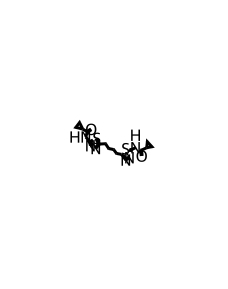 O=C(Nc1nnc(CCCCc2nnc(NC(=O)C3CC3)s2)s1)C1CC1